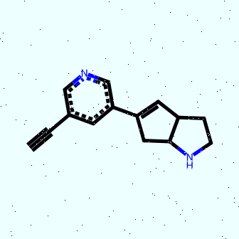 C#Cc1cncc(C2=CC3CCNC3C2)c1